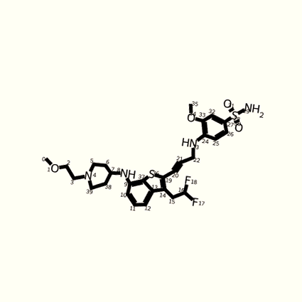 COCCN1CCC(Nc2cccc3c(CC(F)F)c(C#CCNc4ccc(S(N)(=O)=O)cc4OC)sc23)CC1